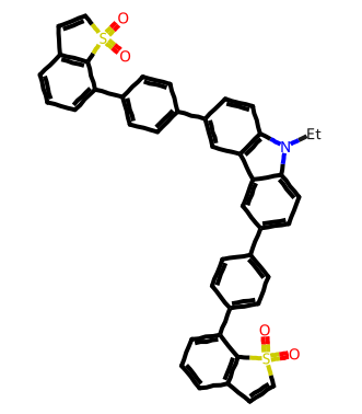 CCn1c2ccc(-c3ccc(-c4cccc5c4S(=O)(=O)C=C5)cc3)cc2c2cc(-c3ccc(-c4cccc5c4S(=O)(=O)C=C5)cc3)ccc21